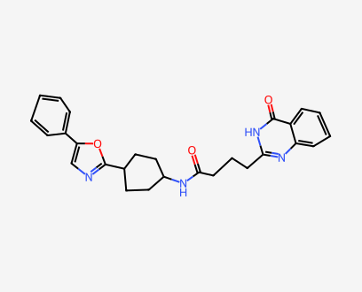 O=C(CCCc1nc2ccccc2c(=O)[nH]1)NC1CCC(c2ncc(-c3ccccc3)o2)CC1